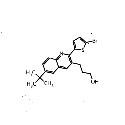 CC(C)(C)c1ccc2nc(-c3ccc(Br)s3)c(CCCO)cc2c1